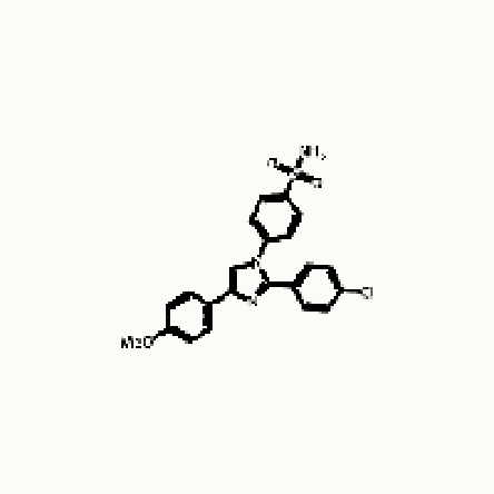 COc1ccc(-c2cn(-c3ccc(S(N)(=O)=O)cc3)c(-c3ccc(Cl)cc3)n2)cc1